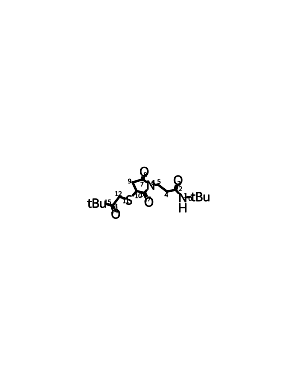 CC(C)(C)NC(=O)CCN1C(=O)CC(SCC(=O)C(C)(C)C)C1=O